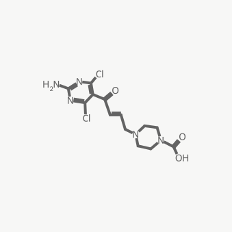 Nc1nc(Cl)c(C(=O)C=CCN2CCN(C(=O)O)CC2)c(Cl)n1